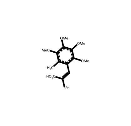 CCCC(=Cc1c(C)c(OC)c(OC)c(OC)c1OC)C(=O)O